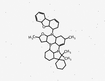 CC1C=C2C3B(C4CC(C)OC4N(C4CC=CC5C6C=CC=CC6OC54)C3C1)C1CCCC3C1N2C(C)(C)C31CCCCC1